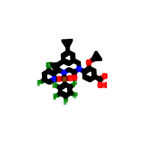 O=C(O)c1ccc(N(Cc2cc(C3CC3)cc(C3CC3)c2)C(=O)CN(Cc2ncc(F)cc2Cl)S(=O)(=O)c2c(F)c(F)c(F)c(F)c2F)c(OC2CC2)c1